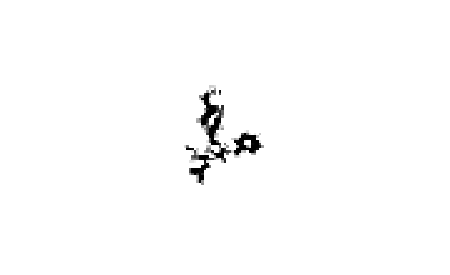 COB(C)[C@H](CC(C)C)NC(=O)[C@H](Cc1ccccc1)NC(=O)c1cnc(CS)cn1